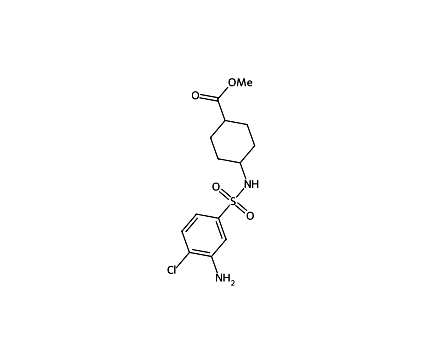 COC(=O)C1CCC(NS(=O)(=O)c2ccc(Cl)c(N)c2)CC1